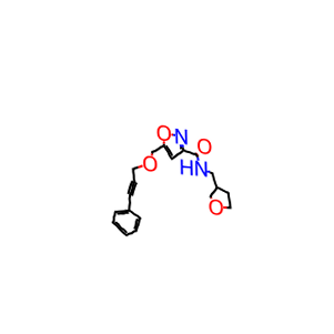 O=C(NCC1CCOC1)c1cc(COCC#Cc2ccccc2)on1